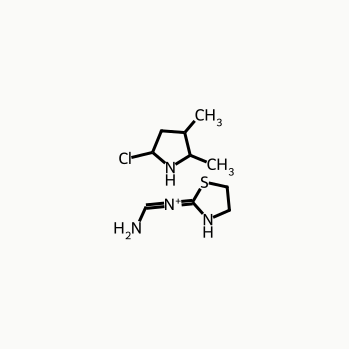 CC1CC(Cl)NC1C.NC=[N+]=C1NCCS1